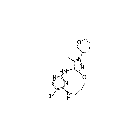 Cc1c2c(nn1C1CCCOC1)OCCCNc1nc(ncc1Br)N2